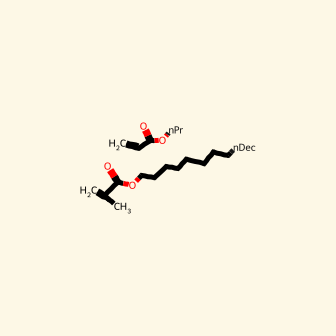 C=C(C)C(=O)OCCCCCCCCCCCCCCCCCC.C=CC(=O)OCCC